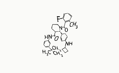 Cc1cccc(F)c1C(=O)N1CCCC(C(=O)Nc2cccc(C(C)(C)C)c2)[C@@H]1C1C=CC(NC2CCC2)=CC1